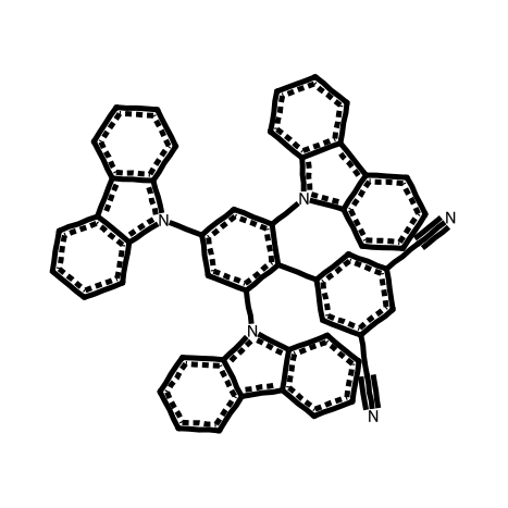 N#Cc1cc(C#N)cc(-c2c(-n3c4ccccc4c4ccccc43)cc(-n3c4ccccc4c4ccccc43)cc2-n2c3ccccc3c3ccccc32)c1